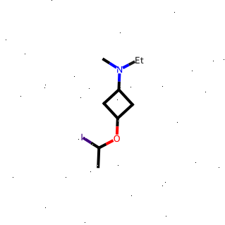 CCN(C)C1CC(OC(C)I)C1